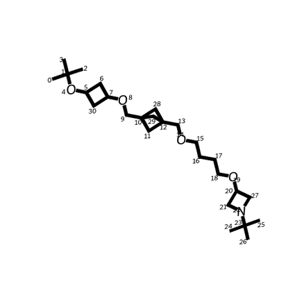 CC(C)(C)OC1CC(OCC23CC(COCCCCOC4CN(C(C)(C)C)C4)(C2)C3)C1